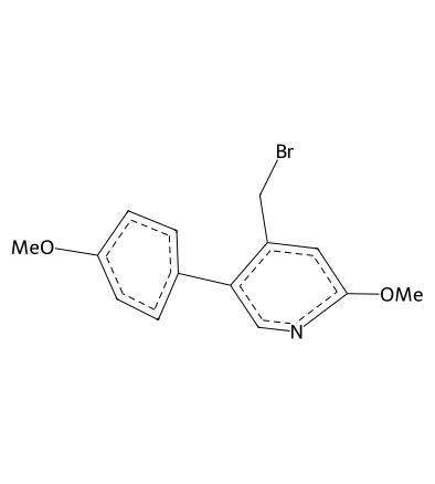 COc1ccc(-c2cnc(OC)cc2CBr)cc1